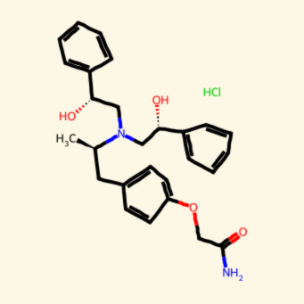 C[C@H](Cc1ccc(OCC(N)=O)cc1)N(C[C@H](O)c1ccccc1)C[C@H](O)c1ccccc1.Cl